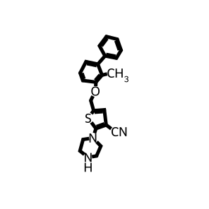 Cc1c(OCc2cc(C#N)c(N3CCNCC3)s2)cccc1-c1ccccc1